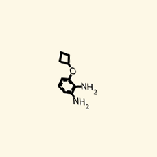 Nc1cccc(OC2CCC2)c1N